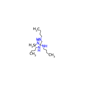 CCCCNCC(N[SiH3])(NCCCC)NCCCC